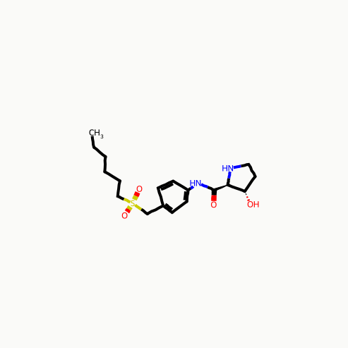 CCCCCCS(=O)(=O)Cc1ccc(NC(=O)[C@H]2NCC[C@@H]2O)cc1